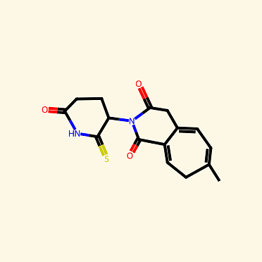 CC1=CC=C2CC(=O)N(C3CCC(=O)NC3=S)C(=O)C2=CC1